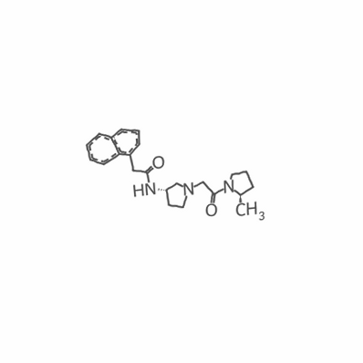 C[C@@H]1CCCN1C(=O)CN1CC[C@H](NC(=O)Cc2cccc3ccccc23)C1